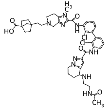 CC(=O)NCCNC1CCCn2nc(C(=O)Nc3cccc(-c4cccc(NC(=O)c5nc6c(n5C)CCN(CCC57CCC(C(=O)O)(CC5)C7)C6)c4Cl)c3Cl)cc21